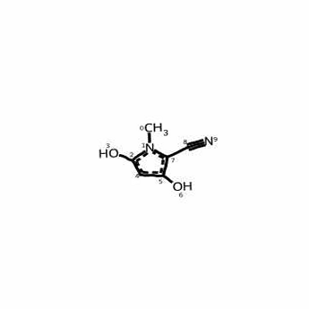 Cn1c(O)cc(O)c1C#N